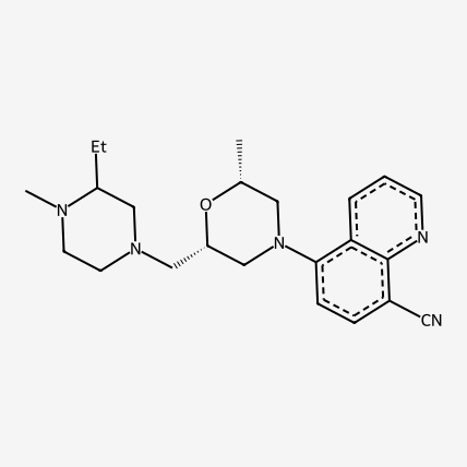 CCC1CN(C[C@H]2CN(c3ccc(C#N)c4ncccc34)C[C@@H](C)O2)CCN1C